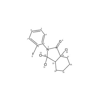 O=C1N(c2ccccc2F)C(Cl)(Cl)C2CCCCC12Cl